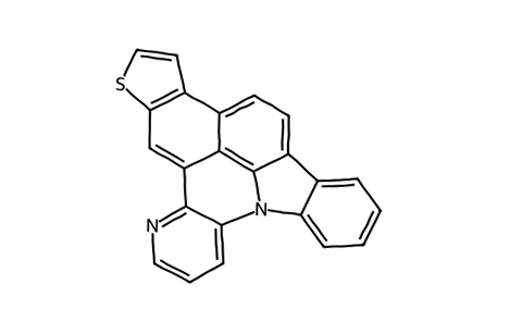 c1ccc2c(c1)c1ccc3c4ccsc4cc4c5ncccc5n2c1c34